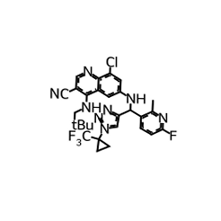 Cc1nc(F)ccc1C(Nc1cc(Cl)c2ncc(C#N)c(NCC(C)(C)C)c2c1)c1cn(C2(C(F)(F)F)CC2)nn1